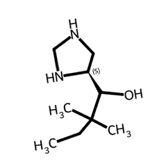 CCC(C)(C)C(O)[C@@H]1CNCN1